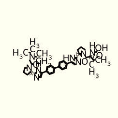 CC(C)[C@H](NC(=O)O)C(=O)N1CCC[C@H]1c1ncc(-c2ccc(-c3ccc(-c4cnc([C@@H]5CCCN5C(=O)CN(C(C)C)C(C)C)[nH]4)cc3)cc2)[nH]1